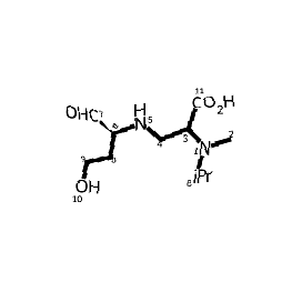 CC(C)N(C)C(CN[C@H](C=O)CCO)C(=O)O